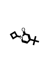 CC(C)(C)c1ccn(C2CCC2)c(=O)c1